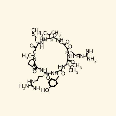 CSCC[C@@H]1NN[C@@H](C(C)C)C(=O)NCC(=O)C(=O)[C@H](CCCNC(=N)N)NC(=O)[C@H](C(C)C)NC(=O)[C@H](Cc2ccc(O)cc2)NC(=O)[C@H](CCCNC(=N)N)NC(=O)[C@@H]2CCCN2C(C)CC1=O